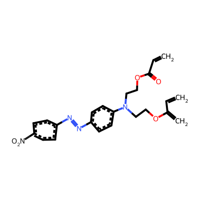 C=CC(=C)OCCN(CCOC(=O)C=C)c1ccc(/N=N/c2ccc([N+](=O)[O-])cc2)cc1